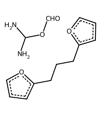 NC(N)OC=O.c1coc(CCCc2ccco2)c1